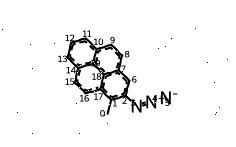 Cc1c(N=[N+]=[N-])cc2ccc3cccc4ccc1c2c34